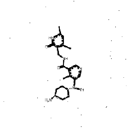 CCN(c1cncc(C(=O)NCc2c(C)cc(C)[nH]c2=O)c1C)[C@H]1CC[C@H](N)CC1